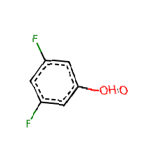 Oc1cc(F)cc(F)c1.[O]